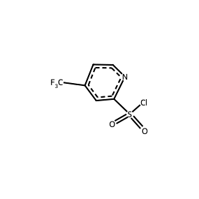 O=S(=O)(Cl)c1cc(C(F)(F)F)ccn1